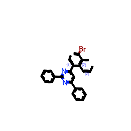 C=C(Br)/C(C)=C(/C=C\C)C(=C/C)\c1cc(-c2ccccc2)nc(-c2ccccc2)n1